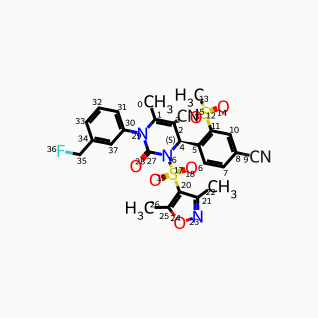 CC1=C(C#N)[C@@H](c2ccc(C#N)cc2S(C)(=O)=O)N(S(=O)(=O)c2c(C)noc2C)C(=O)N1c1cccc(CF)c1